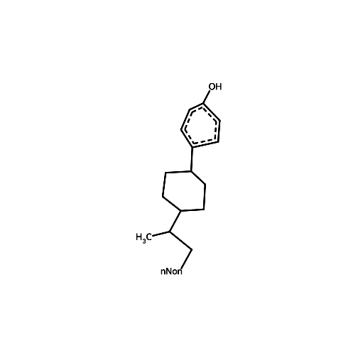 CCCCCCCCCCC(C)C1CCC(c2ccc(O)cc2)CC1